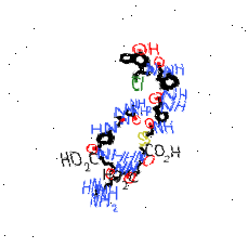 N=C(N)NCCCC[C@@H](NC(=O)CC[C@@H](NC(=O)c1ccc(NCc2cnc3nc(N)[nH]c(=O)c3n2)cc1)C(=O)O)C(=O)N[C@H](CC(=O)O)C(=O)NC(CSSCCC(=O)Nc1ccc2[nH]c(C(=O)Nc3ccc4[nH]c(C(=O)N5CC(CCl)c6c5cc(O)c5ccccc65)cc4c3)cc2c1)C(=O)O